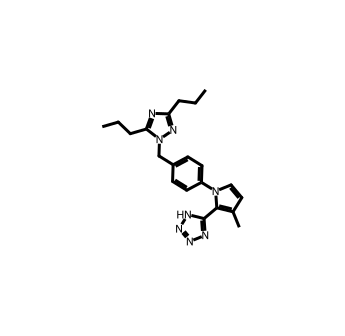 CCCc1nc(CCC)n(Cc2ccc(-n3ccc(C)c3-c3nnn[nH]3)cc2)n1